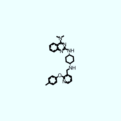 Cc1ccc(Oc2ncccc2CN[C@H]2CC[C@@H](Nc3nc(N(C)C)c4ccccc4n3)CC2)cc1